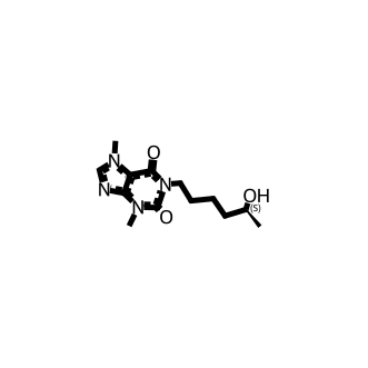 C[C@H](O)CCCCn1c(=O)c2c(ncn2C)n(C)c1=O